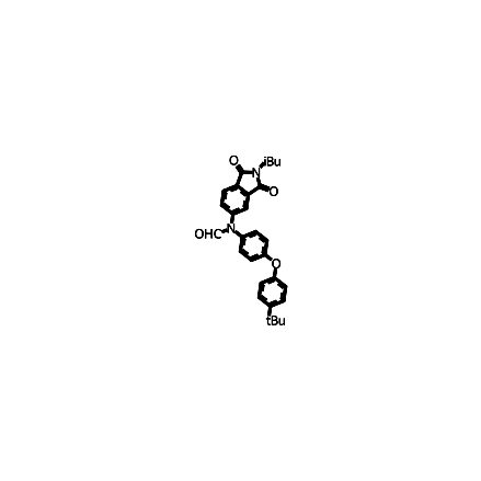 CCC(C)N1C(=O)c2ccc(N(C=O)c3ccc(Oc4ccc(C(C)(C)C)cc4)cc3)cc2C1=O